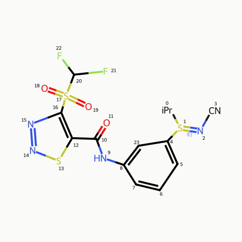 CC(C)/S(=N\C#N)c1cccc(NC(=O)c2snnc2S(=O)(=O)C(F)F)c1